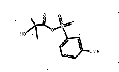 COc1cccc(S(=O)(=O)OC(=O)C(C)(C)O)c1